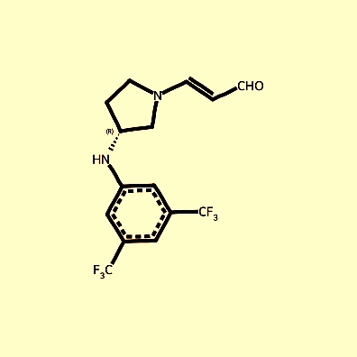 O=CC=CN1CC[C@@H](Nc2cc(C(F)(F)F)cc(C(F)(F)F)c2)C1